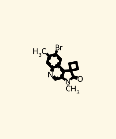 Cc1cc2ncc3c(c2cc1Br)C1(CCC1)C(=O)N3C